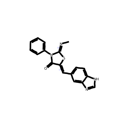 C/N=C1\S/C(=C\c2ccc3[nH]cnc3c2)C(=O)N1c1ccccc1